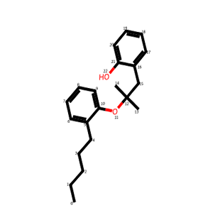 CCCCCc1ccccc1OC(C)(C)Cc1ccccc1O